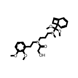 COc1cccc(CCN(CCCN(C)C(OC)(OC)C23C=CC=CC2=CC3)C(=O)CO)c1OC